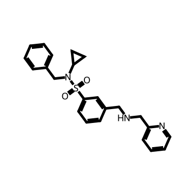 O=S(=O)(c1cccc(CNCc2ccccn2)c1)N(Cc1ccccc1)C1CC1